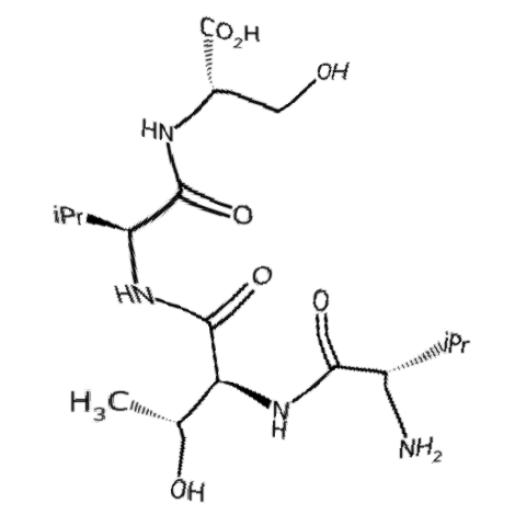 CC(C)[C@H](N)C(=O)N[C@H](C(=O)N[C@H](C(=O)N[C@@H](CO)C(=O)O)C(C)C)[C@@H](C)O